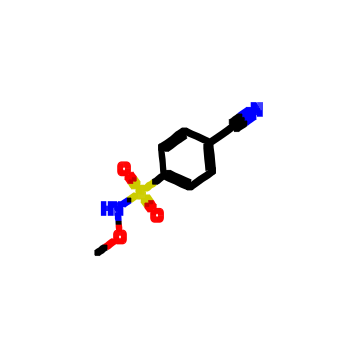 CONS(=O)(=O)c1ccc(C#N)cc1